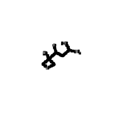 CCC1(C([O])CC(C)O)COC1